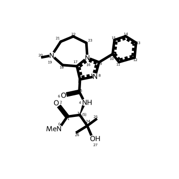 CNC(=O)[C@@H](NC(=O)c1nc(-c2ccccc2)n2c1CN(C)CCC2)C(C)(C)O